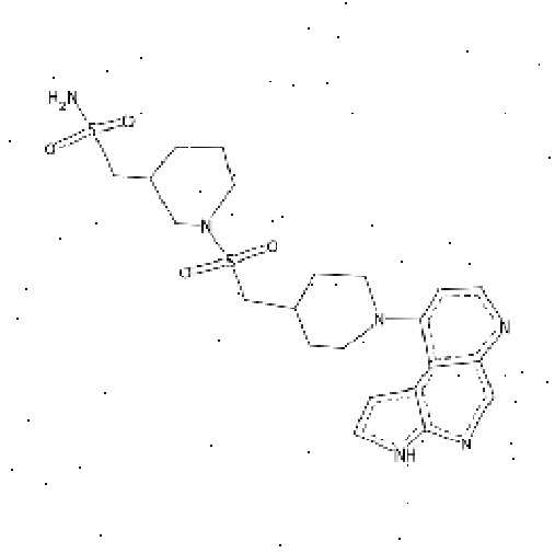 NS(=O)(=O)CC1CCCN(S(=O)(=O)CC2CCN(c3ccnc4cnc5[nH]ccc5c34)CC2)C1